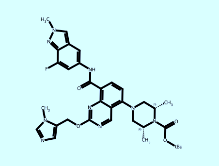 C[C@@H]1CN(c2ccc(C(=O)Nc3cc(F)c4nn(C)cc4c3)c3nc(OCc4cncn4C)ncc23)C[C@H](C)N1C(=O)OC(C)(C)C